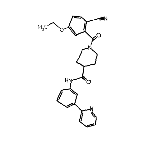 CCOc1ccc(C#N)c(C(=O)N2CCC(C(=O)Nc3cccc(-c4ccccn4)c3)CC2)c1